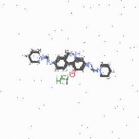 Cl.Cl.O=c1cc(N=CN2CCCCC2)cc2[nH]cc3cc(N=CN4CCCCC4)ccc3c1-2